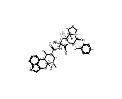 CC1C2c3cccc4[nH]cc(c34)C[C@H]2N(C)C[C@@H]1C(=O)N[C@]1(C(C)C)O[C@@]2(O)[C@@H]3CCCN3C(=O)[C@H](Cc3ccccc3)N2C1=O